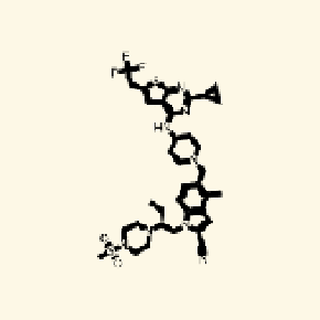 CC[C@@H](Cn1c(C#N)cc2c(C)c(CN3CCC(Nc4nc(C5CC5)nc5sc(CC(F)(F)F)cc45)CC3)ccc21)N1CCN(S(C)(=O)=O)CC1